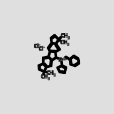 CC1(C)C=Cc2cc3c(cc21)[CH](/[Zr+2](=[CH]/c1ccccc1)[C]1=CC=CC1)c1cc2c(cc1-3)C=CC2(C)C.[Cl-].[Cl-]